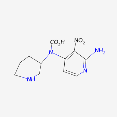 Nc1nccc(N(C(=O)O)C2CCCNC2)c1[N+](=O)[O-]